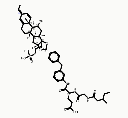 C/C=C1\C=C[C@@]2(C)C(=C1)CC[C@@H]1[C@@H]2[C@@H](O)C[C@@]2(C)[C@H]1C[C@H]1O[C@@H](c3ccc(Cc4cccc(NC(=O)[C@H](CCC(=O)O)NC(=O)CNC(=O)CC(C)CC)c4)cc3)O[C@]12C(=O)COP(=O)(O)O